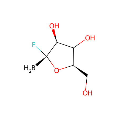 B[C@]1(F)O[C@H](CO)C(O)[C@@H]1O